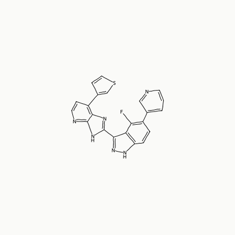 Fc1c(-c2cccnc2)ccc2[nH]nc(-c3nc4c(-c5ccsc5)ccnc4[nH]3)c12